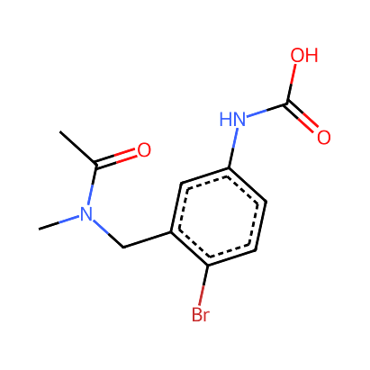 CC(=O)N(C)Cc1cc(NC(=O)O)ccc1Br